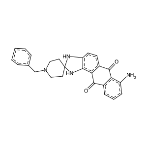 Nc1cccc2c1C(=O)c1ccc3c(c1C2=O)NC1(CCN(Cc2ccccc2)CC1)N3